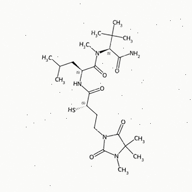 CC(C)C[C@H](NC(=O)[C@@H](S)CCN1C(=O)N(C)C(C)(C)C1=O)C(=O)N(C)[C@H](C(N)=O)C(C)(C)C